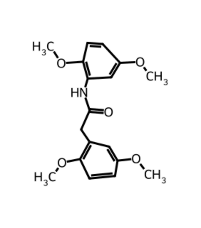 COc1ccc(OC)c(CC(=O)Nc2cc(OC)ccc2OC)c1